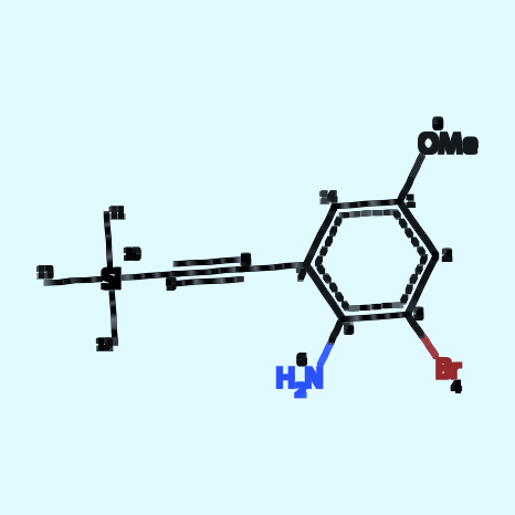 COc1cc(Br)c(N)c(C#C[Si](C)(C)C)c1